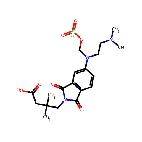 CN(C)CCN(CO[SH](=O)=O)c1ccc2c(c1)C(=O)N(CC(C)(C)CC(=O)O)C2=O